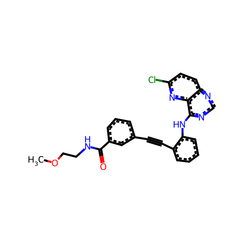 COCCNC(=O)c1cccc(C#Cc2ccccc2Nc2ncnc3ccc(Cl)nc23)c1